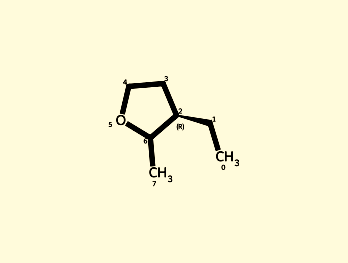 CC[C@@H]1CCOC1C